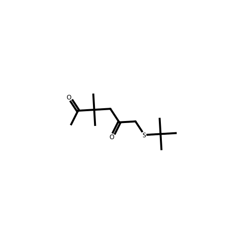 CC(=O)C(C)(C)CC(=O)CSC(C)(C)C